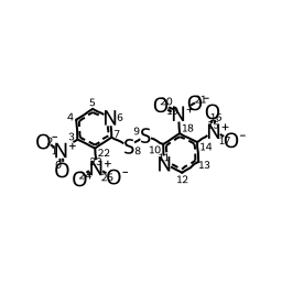 O=[N+]([O-])c1ccnc(SSc2nccc([N+](=O)[O-])c2[N+](=O)[O-])c1[N+](=O)[O-]